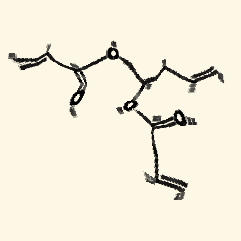 C=CCC(OC(=O)C=C)OC(=O)C=C